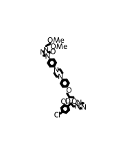 COC(Cn1ncn(-c2ccc(N3CCN(c4ccc(OCC5COC(Cn6cncn6)(c6ccc(Cl)cc6Cl)O5)cc4)CC3)cc2)c1=O)OC